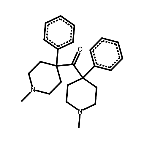 CN1CCC(C(=O)C2(c3ccccc3)CCN(C)CC2)(c2ccccc2)CC1